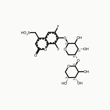 O=c1cc(CS(=O)(=O)O)c2cc(F)c(O[C@@H]3OC[C@@H](O[C@@H]4OC[C@@H](O)[C@@H](O)C4O)[C@@H](O)C3O)c(F)c2o1